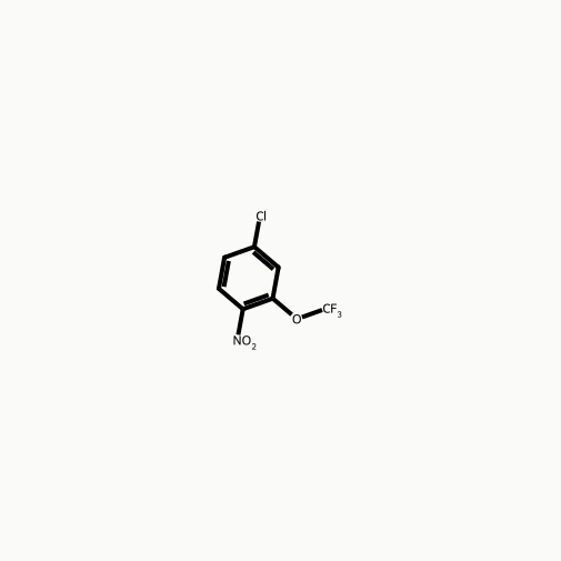 O=[N+]([O-])c1ccc(Cl)cc1OC(F)(F)F